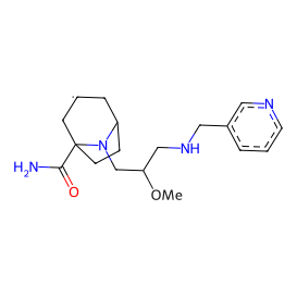 COC(CNCc1cccnc1)CN1C2C[CH]CC1(C(N)=O)CC2